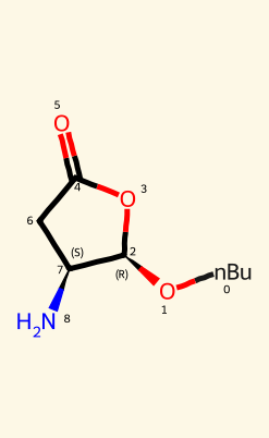 CCCCO[C@@H]1OC(=O)C[C@@H]1N